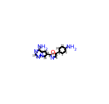 Nc1ccc(-c2cnc(-c3cc4c(N)ncnn4c3)o2)cc1